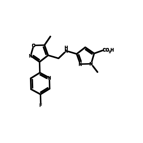 Cc1onc(-c2ccc(F)cn2)c1CNc1cc(C(=O)O)n(C)n1